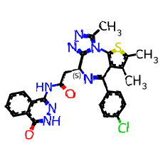 Cc1sc2c(c1C)C(c1ccc(Cl)cc1)=N[C@@H](CC(=O)Nc1n[nH]c(=O)c3ccccc13)c1nnc(C)n1-2